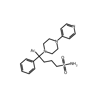 CC(=O)C(CCCS(N)(=O)=O)(c1ccccc1)N1CCN(c2ccncc2)CC1